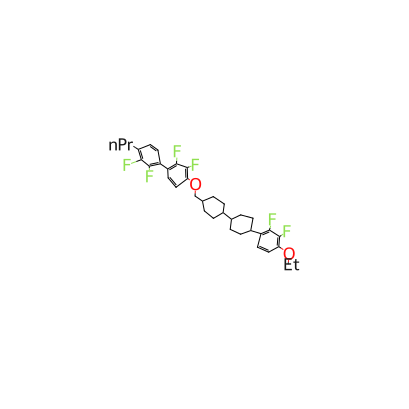 CCCc1ccc(-c2ccc(OCC3CCC(C4CCC(c5ccc(OCC)c(F)c5F)CC4)CC3)c(F)c2F)c(F)c1F